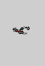 CC(C)S(=O)(=O)c1ccc(-c2ccc3cc(O)ccc3c2Oc2ccc(OCCN3CCCCC3)cc2)cc1